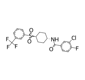 O=C(N[C@H]1CC[C@H](S(=O)(=O)c2cccc(C(F)(F)F)c2)CC1)c1ccc(F)c(Cl)c1